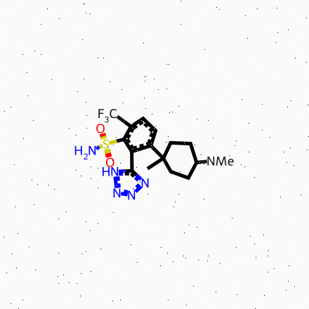 CNC1CCC(C)(c2ccc(C(F)(F)F)c(S(N)(=O)=O)c2-c2nnn[nH]2)CC1